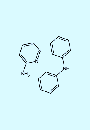 Nc1ccccn1.c1ccc(Nc2ccccc2)cc1